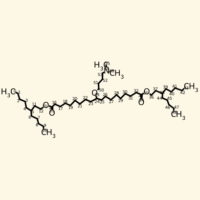 CCCCCC(CCCCC)CCOC(=O)CCCCCCCCC(CCCCCCCCC(=O)OCCC(CCCCC)CCCCC)OCCCCN(C)C